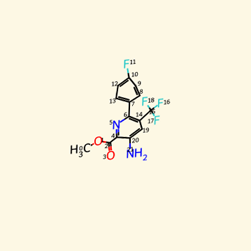 COC(=O)c1nc(-c2ccc(F)cc2)c(C(F)(F)F)cc1N